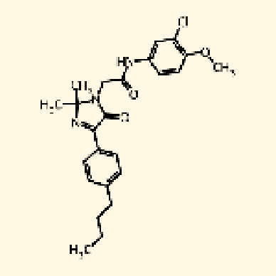 CCCCc1ccc(C2=NC(C)(C)N(CC(=O)Nc3ccc(OC)c(Cl)c3)C2=O)cc1